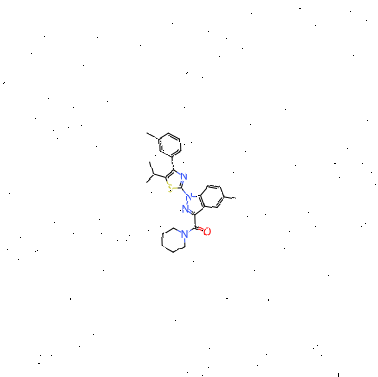 Cc1cccc(-c2nc(-n3nc(C(=O)N4CCCCC4)c4cc(C)ccc43)sc2C(C)C)c1